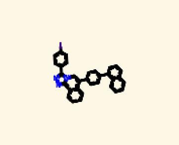 Ic1ccc(-c2nnc3c4ccccc4c(-c4ccc(-c5cccc6ccccc56)cc4)cn23)cc1